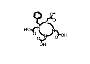 COC(=O)CN1CCN(CC(=O)O)CCN(CC(=O)O)CCN(CC(=O)O)C(Cc2ccccc2)C1